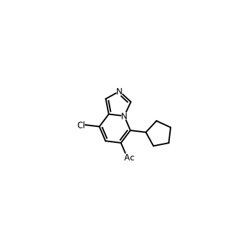 CC(=O)c1cc(Cl)c2cncn2c1C1CCCC1